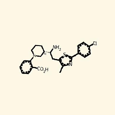 Cc1nc(-c2ccc(Cl)cc2)sc1CC(N)[C@H]1CCCN(c2ccccc2C(=O)O)C1